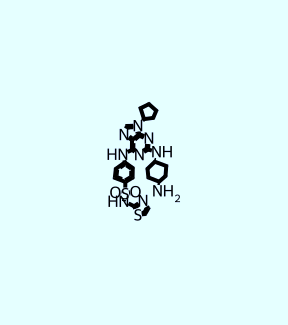 N[C@H]1CC[C@H](Nc2nc(Nc3ccc(S(=O)(=O)Nc4nccs4)cc3)c3ncn(C4CCCC4)c3n2)CC1